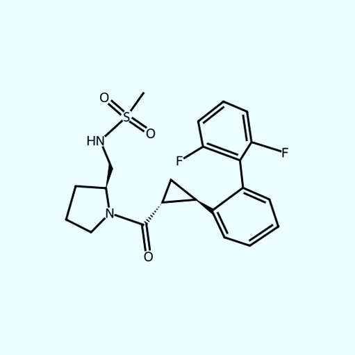 CS(=O)(=O)NC[C@@H]1CCCN1C(=O)[C@@H]1C[C@H]1c1ccccc1-c1c(F)cccc1F